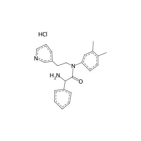 Cc1ccc(N(CCc2cccnc2)C(=O)C(N)c2ccccc2)cc1C.Cl